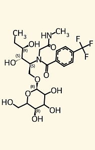 CC[C@@H](O)[C@@H](O)[C@H](CO[C@@H]1OC(CO)[C@H](O)C(O)C1O)N(CC(=O)NC)C(=O)c1ccc(C(F)(F)F)cc1